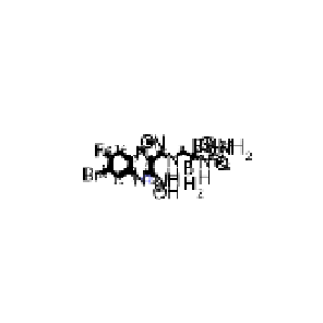 BC(B)(CNc1nonc1/C(=N\c1ccc(F)c(Br)c1)NO)NS(N)(=O)=O